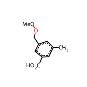 COOCc1cc(C)cc(C(=O)O)c1